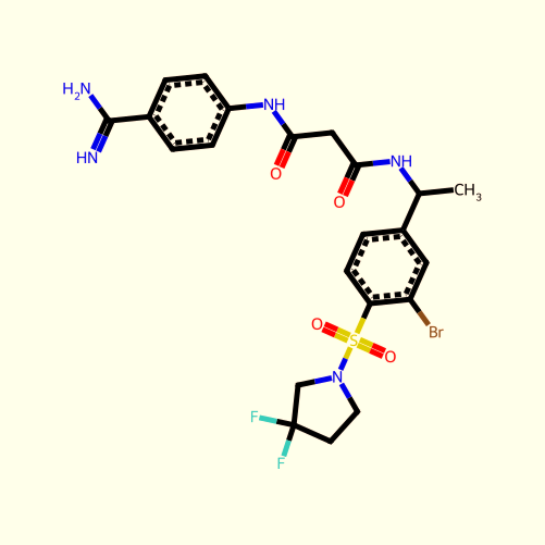 CC(NC(=O)CC(=O)Nc1ccc(C(=N)N)cc1)c1ccc(S(=O)(=O)N2CCC(F)(F)C2)c(Br)c1